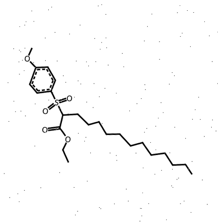 CCCCCCCCCCCCC(C(=O)OCC)S(=O)(=O)c1ccc(OC)cc1